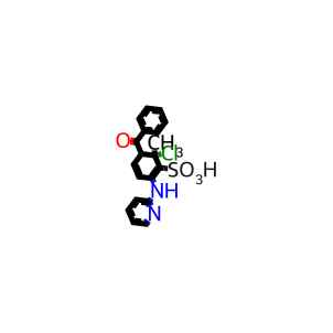 CC1(Cl)C(S(=O)(=O)O)=C(Nc2ccccn2)C=CC1C(=O)c1ccccc1